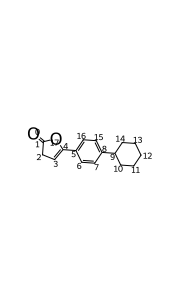 O=C1CC=C(c2ccc(C3CCCCC3)cc2)O1